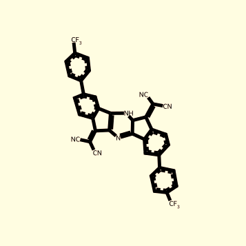 N#CC(C#N)=C1C2=C(NC3C(=N2)c2cc(-c4ccc(C(F)(F)F)cc4)ccc2C3=C(C#N)C#N)c2cc(-c3ccc(C(F)(F)F)cc3)ccc21